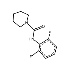 O=C(Nc1c(F)cccc1F)N1CCCCC1